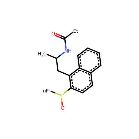 CCC[S+]([O-])c1ccc2ccccc2c1CC(C)NC(=O)CC